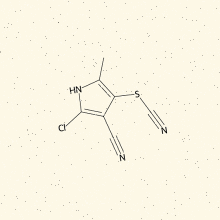 Cc1[nH]c(Cl)c(C#N)c1SC#N